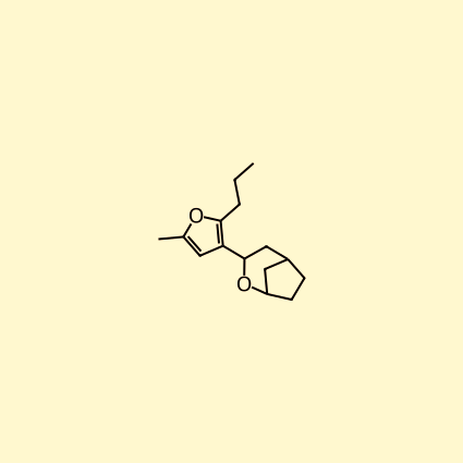 CCCc1oc(C)cc1C1CC2CCC(C2)O1